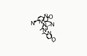 COc1ccc(C(C)N2C[C@H](C)N(c3c(C#N)c(=O)n(C)c4ccc(C#N)nc34)CC2C)nc1